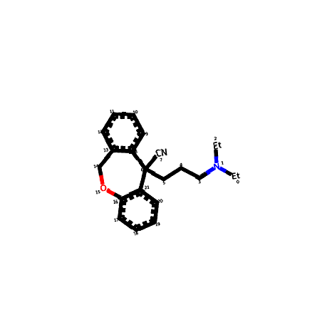 CCN(CC)CCCC1(C#N)c2ccccc2COc2ccccc21